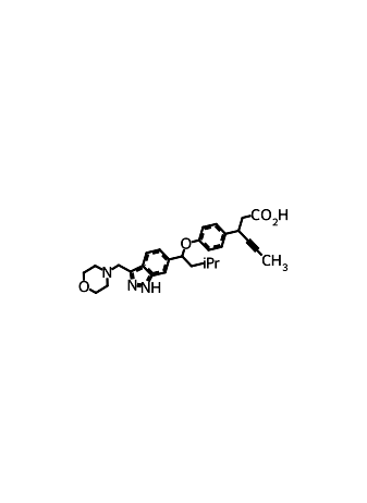 CC#CC(CC(=O)O)c1ccc(OC(CC(C)C)c2ccc3c(CN4CCOCC4)n[nH]c3c2)cc1